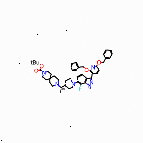 C[C@H](C1CCN(c2ccc3c(-c4ccc(OCc5ccccc5)nc4OCc4ccccc4)nn(C)c3c2F)CC1)N1CCC2(CCN(C(=O)OC(C)(C)C)CC2)CC1